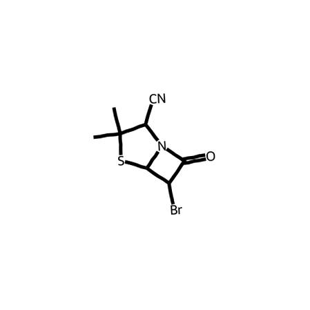 CC1(C)SC2C(Br)C(=O)N2C1C#N